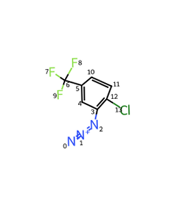 [N-]=[N+]=Nc1cc(C(F)(F)F)ccc1Cl